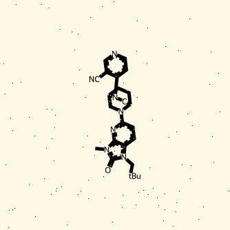 Cn1c(=O)n(CC(C)(C)C)c2ccc(N3CC4CCC3CN4c3ccncc3C#N)nc21